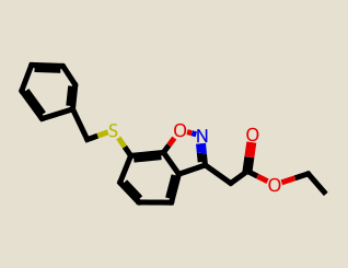 CCOC(=O)Cc1noc2c(SCc3ccccc3)cccc12